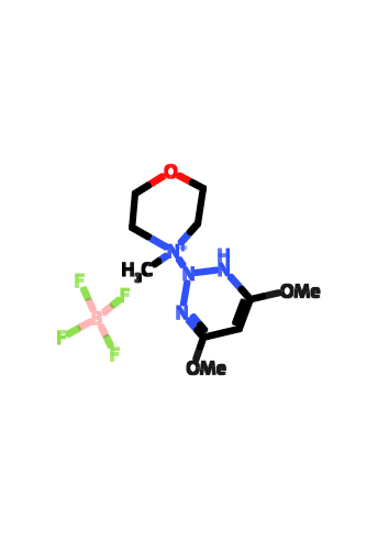 COC1=CC(OC)=NN([N+]2(C)CCOCC2)N1.F[B-](F)(F)F